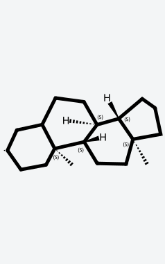 C[C@@]12CCC[C@H]1[C@@H]1CCC3C[CH]CC[C@]3(C)[C@H]1CC2